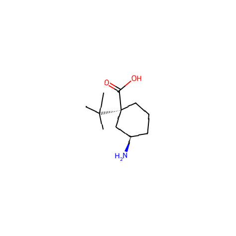 CC(C)(C)[C@]1(C(=O)O)CCC[C@@H](N)C1